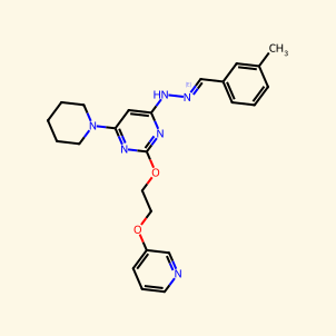 Cc1cccc(/C=N/Nc2cc(N3CCCCC3)nc(OCCOc3cccnc3)n2)c1